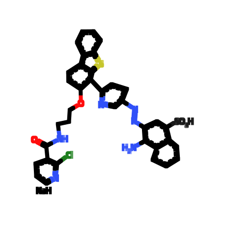 Nc1c(N=Nc2ccc(-c3c(OCCCNC(=O)c4cccnc4Cl)ccc4c3sc3ccccc34)nc2)cc(S(=O)(=O)O)c2ccccc12.[NaH]